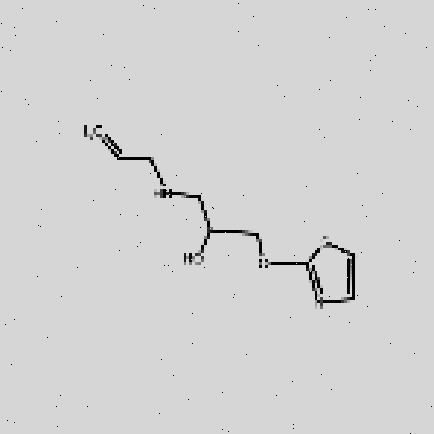 C=CCNCC(O)COc1nccs1